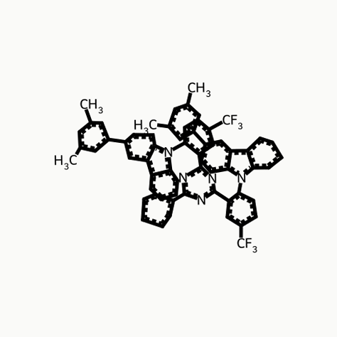 Cc1cc(C)cc(-c2ccc3c(c2)c2ccccc2n3-c2ccc(C(F)(F)F)cc2-c2nc(-c3ccccc3)nc(-c3cc(C(F)(F)F)ccc3-n3c4ccccc4c4cc(-c5cc(C)cc(C)c5)ccc43)n2)c1